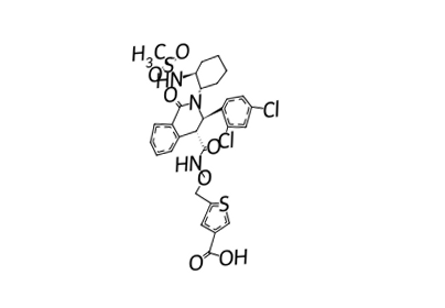 CS(=O)(=O)N[C@H]1CCCC[C@@H]1N1C(=O)c2ccccc2[C@@H](C(=O)NOCc2cc(C(=O)O)cs2)[C@@H]1c1ccc(Cl)cc1Cl